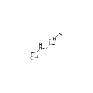 CC(C)N1CC(CNC2COC2)C1